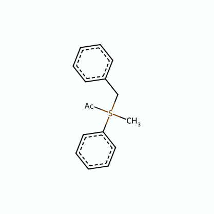 CC(=O)S(C)(Cc1ccccc1)c1ccccc1